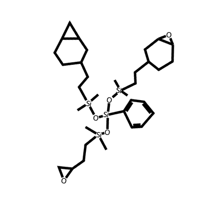 C[Si](C)(CCC1CCC2CC2C1)O[Si](O[Si](C)(C)CCC1CCC2OC2C1)(O[Si](C)(C)CCC1CO1)c1ccccc1